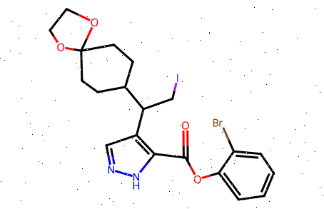 O=C(Oc1ccccc1Br)c1[nH]ncc1C(CI)C1CCC2(CC1)OCCO2